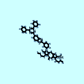 C=C/C=C\c1c(C=C)c(/C=c2/sc(BC)c(/C=C\C=C)c2=C)n(-c2cccc(-c3nc4cc(-c5nc(-c6ccccc6)nc(-c6ccccc6)n5)ccc4s3)c2)c1C